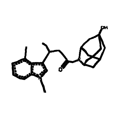 Cc1cccc2c1c(C(C)CC(=O)N1C3CC4CC1CC(O)(C4)C3)cn2C